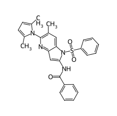 Cc1cc2c(cc(NC(=O)c3ccccc3)n2S(=O)(=O)c2ccccc2)nc1-n1c(C)ccc1C